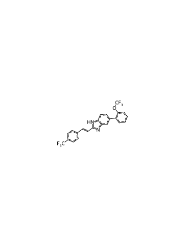 FC(F)(F)Oc1ccccc1-c1ccc2[nH]c(/C=C/c3ccc(C(F)(F)F)cc3)nc2c1